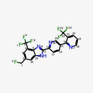 FCc1cc(C(F)(F)F)c2nc(-c3ccc(-c4ncccc4C(F)(F)F)cn3)[nH]c2c1